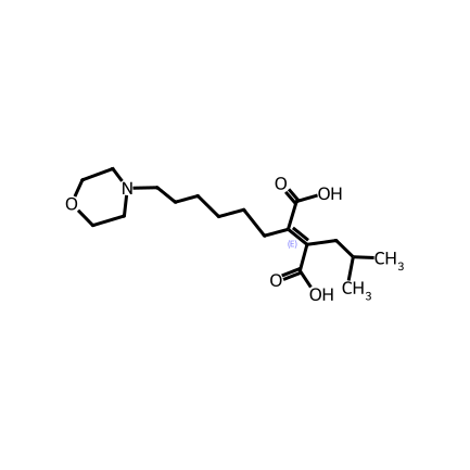 CC(C)C/C(C(=O)O)=C(/CCCCCCN1CCOCC1)C(=O)O